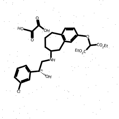 CCOC(=O)C(Oc1ccc2c(c1)CC(NC[C@H](O)c1cccc(Cl)c1)CCC2)C(=O)OCC.O=C(O)C(=O)O